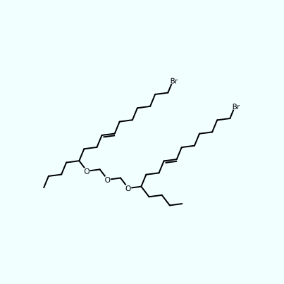 CCCCC(CCC=CCCCCCCBr)OCOCOC(CCC=CCCCCCCBr)CCCC